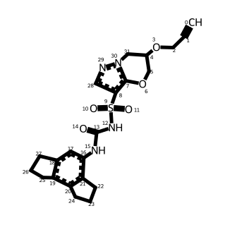 C#CCOC1COc2c(S(=O)(=O)NC(=O)Nc3cc4c(c5c3CCC5)CCC4)cnn2C1